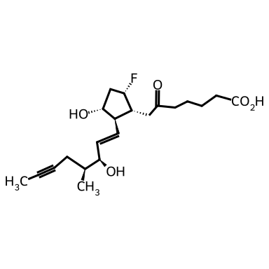 CC#CC[C@H](C)[C@H](O)C=C[C@@H]1[C@@H](CC(=O)CCCCC(=O)O)[C@@H](F)C[C@H]1O